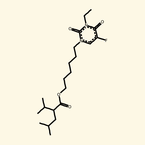 CCn1c(=O)c(F)cn(CCCCCCOC(=O)C(CC(C)C)C(C)C)c1=O